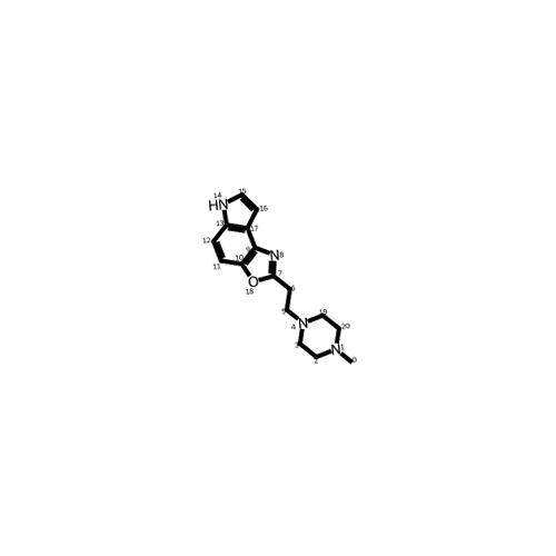 CN1CCN(CCc2nc3c(ccc4[nH]ccc43)o2)CC1